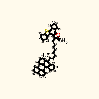 C=C(\C=C/C=C/C=C/C=c1\c(=C)oc2c3ccccc3c3sc4ccccc4c3c12)c1c2ccccc2c(-c2cccc3ccccc23)c2ccccc12